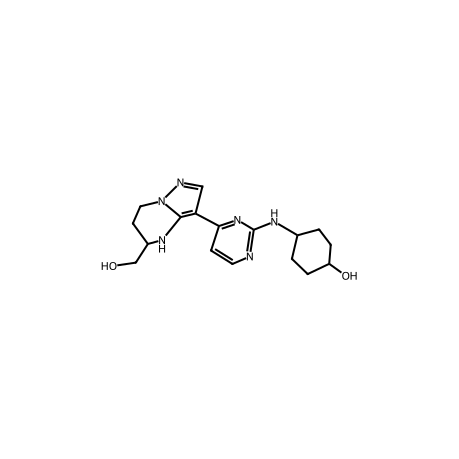 OCC1CCn2ncc(-c3ccnc(NC4CCC(O)CC4)n3)c2N1